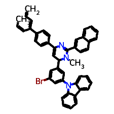 C=C/C=C(\C=C/C)c1ccc(C2=CC(c3cc(Br)cc(-n4c5ccccc5c5ccccc54)c3)N(C)C(c3ccc4ccccc4c3)=N2)cc1